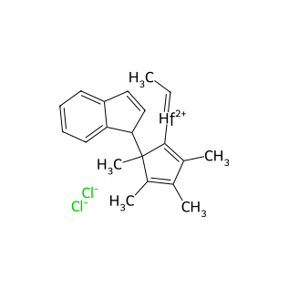 C[CH]=[Hf+2][C]1=C(C)C(C)=C(C)C1(C)C1C=Cc2ccccc21.[Cl-].[Cl-]